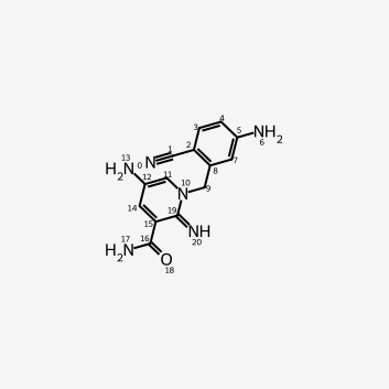 N#Cc1ccc(N)cc1Cn1cc(N)cc(C(N)=O)c1=N